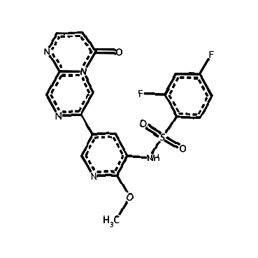 COc1ncc(-c2cn3c(=O)ccnc3cn2)cc1NS(=O)(=O)c1ccc(F)cc1F